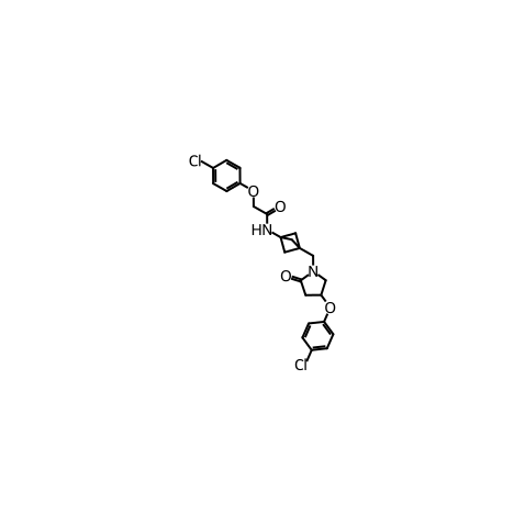 O=C(COc1ccc(Cl)cc1)NC12CC(CN3CC(Oc4ccc(Cl)cc4)CC3=O)(C1)C2